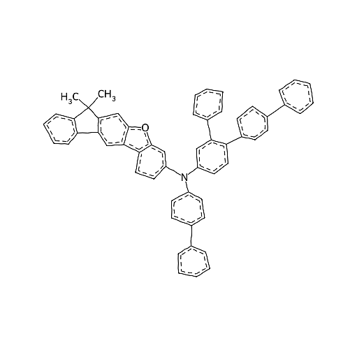 CC1(C)c2ccccc2-c2cc3c(cc21)oc1cc(N(c2ccc(-c4ccccc4)cc2)c2ccc(-c4ccc(-c5ccccc5)cc4)c(-c4ccccc4)c2)ccc13